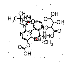 CNC(=O)c1cccc(C(F)(F)F)c1N1C(N2CC(C)(C)NC2=O)=NC=C(OC(=O)O)C1N.O=C(O)C(O)C(O)C(=O)O